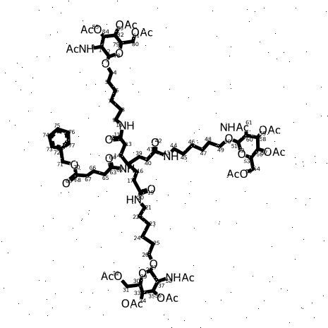 CC(=O)NC1C(OCCCCCCNC(=O)CCC(CCC(=O)NCCCCCCOC2OC(COC(C)=O)C(OC(C)=O)C(OC(C)=O)C2NC(C)=O)(CCC(=O)NCCCCCCOC2OC(COC(C)=O)C(OC(C)=O)C(OC(C)=O)C2NC(C)=O)NC(=O)CCCC(=O)OCc2ccccc2)OC(COC(C)=O)C(OC(C)=O)C1OC(C)=O